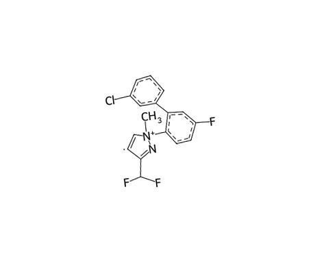 C[N+]1(c2ccc(F)cc2-c2cccc(Cl)c2)C=[C]C(C(F)F)=N1